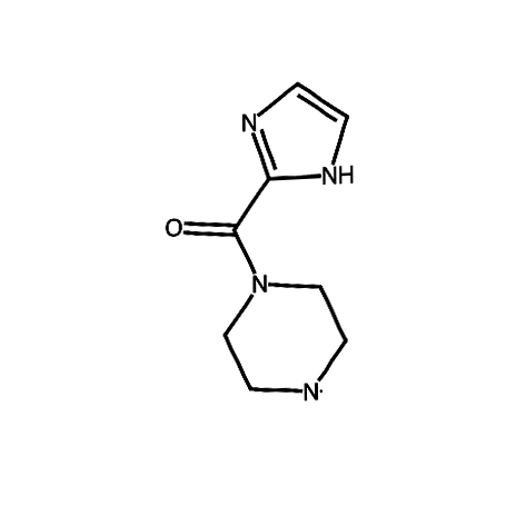 O=C(c1ncc[nH]1)N1CC[N]CC1